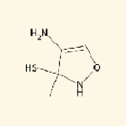 CC1(S)NOC=C1N